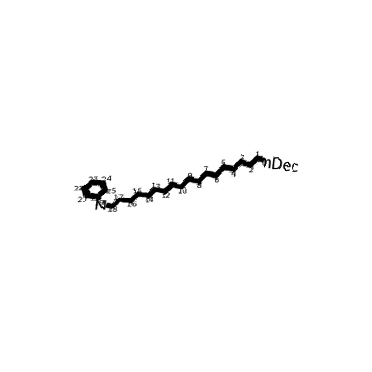 CCCCCCCCCCCCCCCCCCCCCCCCCCC/C=N\c1ccccc1